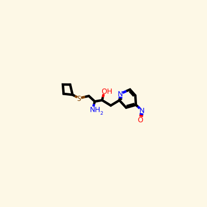 NC(CSC1CCC1)C(O)Cc1cc(N=O)ccn1